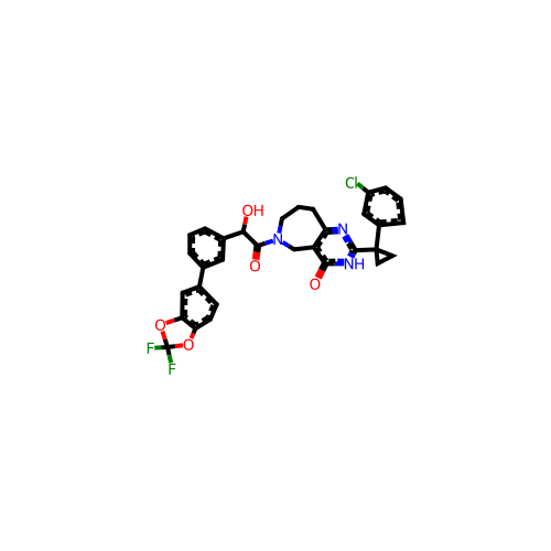 O=C(C(O)c1cccc(-c2ccc3c(c2)OC(F)(F)O3)c1)N1CCCc2nc(C3(c4cccc(Cl)c4)CC3)[nH]c(=O)c2C1